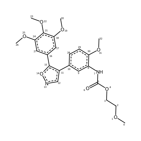 COCCOC(=O)Nc1cc(-c2cnoc2-c2cc(OC)c(OC)c(OC)c2)ccc1OC